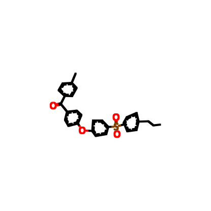 CCCc1ccc(S(=O)(=O)c2ccc(Oc3ccc(C(=O)c4ccc(C)cc4)cc3)cc2)cc1